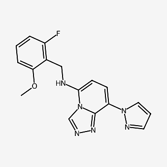 COc1cccc(F)c1CNc1ccc(-n2cccn2)c2nncn12